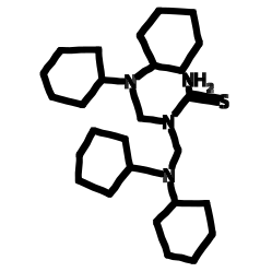 NC(=S)N(CN(C1CCCCC1)C1CCCCC1)CN(C1CCCCC1)C1CCCCC1